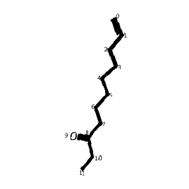 C=CCCCCCCC(=O)CC